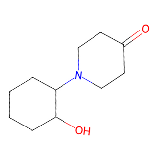 O=C1CCN(C2CCCCC2O)CC1